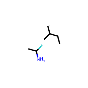 CC(N)F.[CH2]C(C)CC